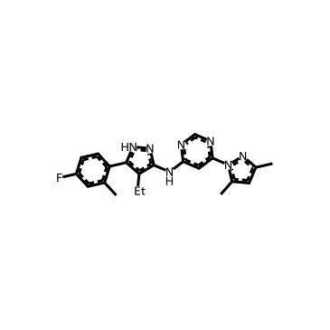 CCc1c(Nc2cc(-n3nc(C)cc3C)ncn2)n[nH]c1-c1ccc(F)cc1C